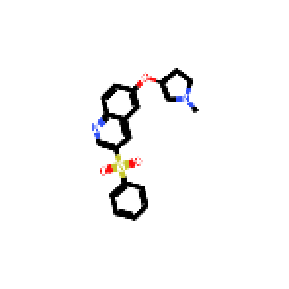 CN1CC[C@H](Oc2ccc3ncc(S(=O)(=O)c4ccccc4)cc3c2)C1